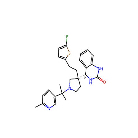 Cc1ccc(C(C)(C)N2CCC(CCc3ccc(F)s3)([C@H]3NC(=O)Nc4ccccc43)C2)cn1